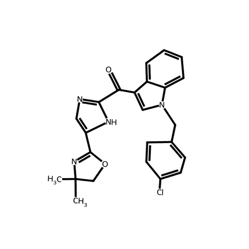 CC1(C)COC(c2cnc(C(=O)c3cn(Cc4ccc(Cl)cc4)c4ccccc34)[nH]2)=N1